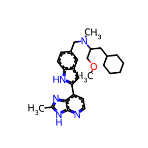 COCC(CC1CCCCC1)N(C)Cc1ccc2[nH]c(-c3ccnc4[nH]c(C)nc34)cc2c1